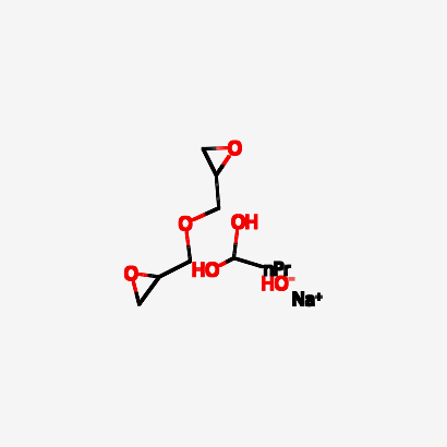 C(OCC1CO1)C1CO1.CCCC(O)O.[Na+].[OH-]